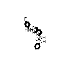 O=C(Nc1ccc2cnc(Nc3ccc(F)cc3)nc2n1)NC1CCCCC1